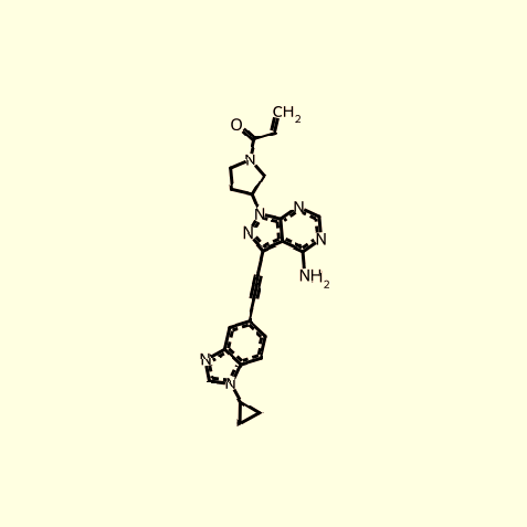 C=CC(=O)N1CCC(n2nc(C#Cc3ccc4c(c3)ncn4C3CC3)c3c(N)ncnc32)C1